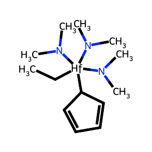 C[CH2][Hf]([CH]1C=CC=C1)([N](C)C)([N](C)C)[N](C)C